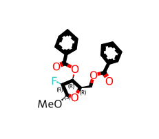 CO[C@H]1O[C@H](COC(=O)c2ccccc2)[C@@H](OC(=O)c2ccccc2)[C@H]1F